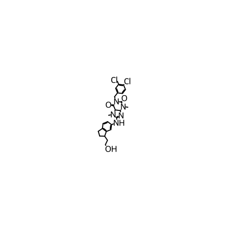 CN1C(=O)N(Cc2ccc(Cl)c(Cl)c2)C(=O)C2C1N=C(Nc1ccc3c(c1)C(CCO)CC3)N2C